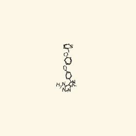 Cn1nc(-c2ccc(Oc3cccc(OCc4cccs4)c3)cc2)c2c(N)ncnc21